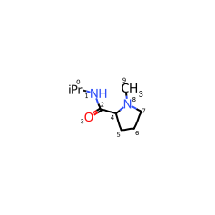 CC(C)NC(=O)C1CCCN1C